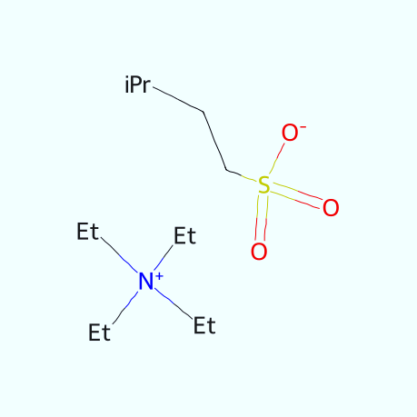 CC(C)CCS(=O)(=O)[O-].CC[N+](CC)(CC)CC